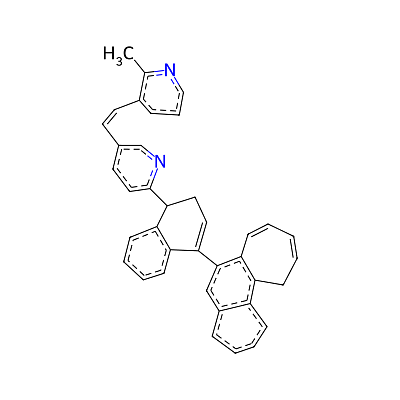 Cc1ncccc1/C=C\c1ccc(C2CC=C(c3cc4ccccc4c4c3C=CC=CC4)c3ccccc32)nc1